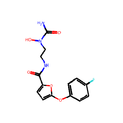 NC(=O)N(O)CCNC(=O)c1ccc(Oc2ccc(F)cc2)o1